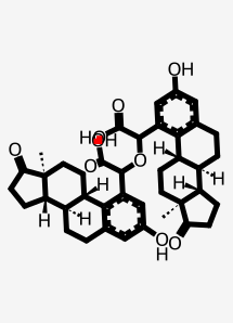 C[C@]12CC[C@@H]3c4c(cc(O)cc4C(OC(C(=O)O)c4cc(O)cc5c4[C@H]4CC[C@]6(C)C(=O)CC[C@H]6[C@@H]4CC5)C(=O)O)CC[C@H]3[C@@H]1CCC2=O